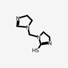 SC1=NCCN1CN1C=NCC1